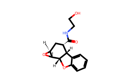 O=C(NCCO)[C@H]1C[C@@H]2O[C@@H]2[C@H]2Oc3ccccc3[C@H]21